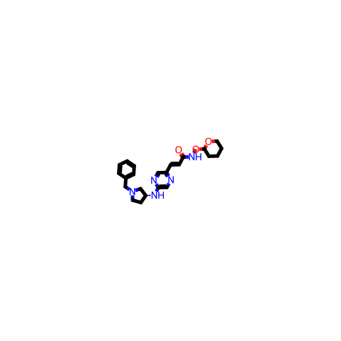 O=C(/C=C/c1cnc(N[C@@H]2CCN(Cc3ccccc3)C2)cn1)NOC1CCCCO1